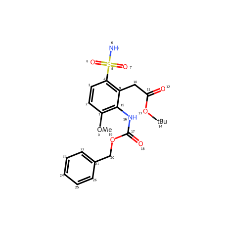 COc1ccc(S([NH])(=O)=O)c(CC(=O)OC(C)(C)C)c1NC(=O)OCc1ccccc1